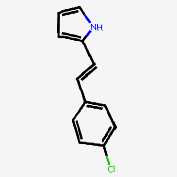 Clc1ccc(/C=C/c2ccc[nH]2)cc1